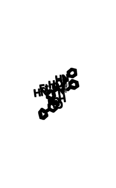 CCNc1cc(C(=O)N[C@@H](Cc2ccccc2)[C@H](O)CNC2CCCCC2)cc(N2CC(c3ccccc3)CCS2(=O)=O)c1